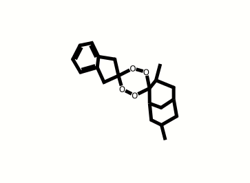 CC1CC2CC(C)C3(OOC4(Cc5ccccc5C4)OO3)C(C1)C2